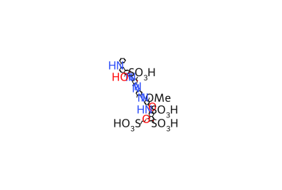 COc1cc(C(=O)Nc2cc3c(OCCCS(=O)(=O)O)cc(S(=O)(=O)O)cc3cc2S(=O)(=O)O)ccc1N=Nc1ccc(N=Nc2cc(C)c(N=Nc3c(S(=O)(=O)O)cc4cc(Nc5ccccc5)ccc4c3O)cc2C)cc1C